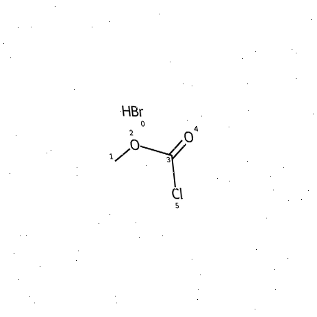 Br.COC(=O)Cl